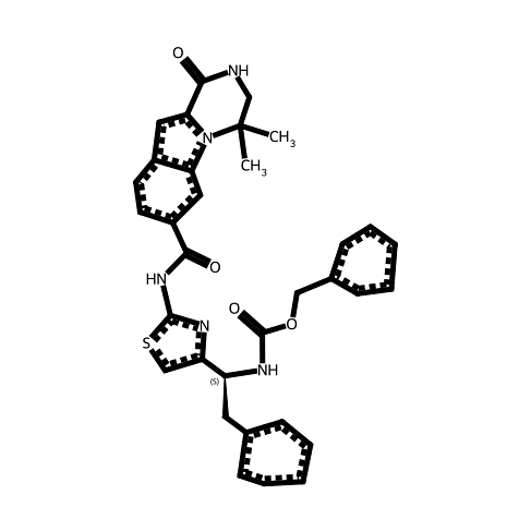 CC1(C)CNC(=O)c2cc3ccc(C(=O)Nc4nc([C@H](Cc5ccccc5)NC(=O)OCc5ccccc5)cs4)cc3n21